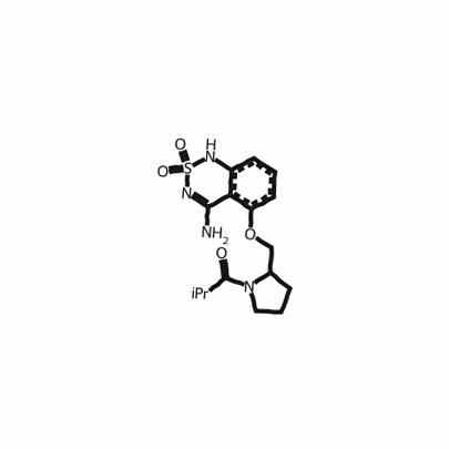 CC(C)C(=O)N1CCCC1COc1cccc2c1C(N)=NS(=O)(=O)N2